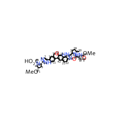 COC[C@H]1C[C@@H](c2ncc(-c3ccc4c(c3)COc3cc5c(ccc6nc(C7CCC(C)N7C(=O)[C@@H](NC(=O)OC)C(C)C)[nH]c65)cc3-4)[nH]2)N(C(=O)O)C1